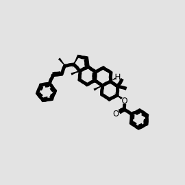 C[C@H](/C=C/c1ccccc1)[C@H]1CC=C2C3=C(CC[C@@]21C)[C@@]1(C)CC[C@H](OC(=O)c2ccccc2)C(C)(C)[C@@H]1CC3